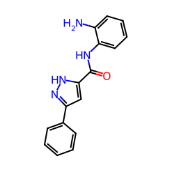 Nc1ccccc1NC(=O)c1cc(-c2ccccc2)n[nH]1